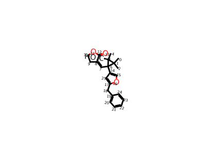 CC1(C)C(C)(C(=O)O)C1(C=C1CCOC1=O)c1coc(Cc2ccccc2)c1